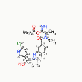 CNC(=O)OC(=N)[C@@H](C)N(C)C(=O)c1ccc(C[C@@H]2CC[C@H]([C@H](O)c3ccc(Cl)nc3)N2)cc1